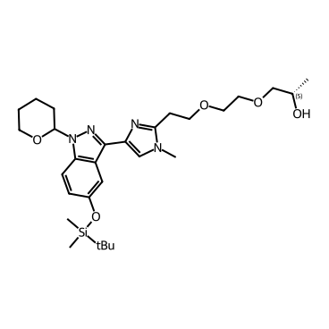 C[C@H](O)COCCOCCc1nc(-c2nn(C3CCCCO3)c3ccc(O[Si](C)(C)C(C)(C)C)cc23)cn1C